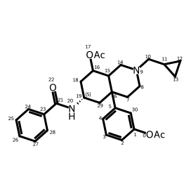 CC(=O)Oc1cccc(C23CCN(CC4CC4)CC2C(OC(C)=O)C[C@@H](NC(=O)c2ccccc2)C3)c1